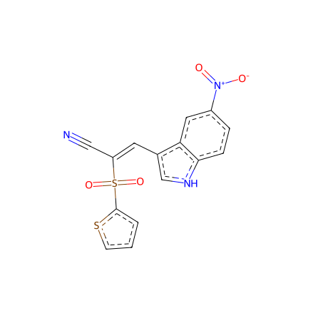 N#CC(=Cc1c[nH]c2ccc([N+](=O)[O-])cc12)S(=O)(=O)c1cccs1